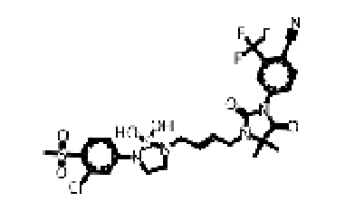 CC1(C)C(=O)N(c2ccc(C#N)c(C(F)(F)F)c2)C(=O)N1CC=CCN1CCN(c2ccc(S(C)(=O)=O)c(Cl)c2)S1(O)O